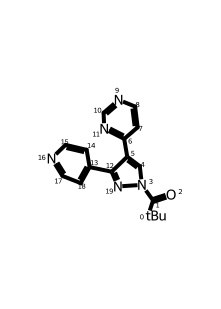 CC(C)(C)C(=O)n1cc(-c2ccncn2)c(-c2ccncc2)n1